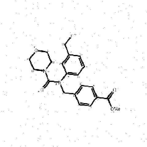 COC(=O)c1ccc(CN(C(=O)N2CCOCC2)c2cccc(CF)c2)cc1